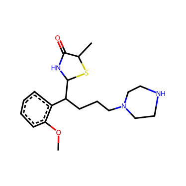 COc1ccccc1C(CCCN1CCNCC1)C1NC(=O)C(C)S1